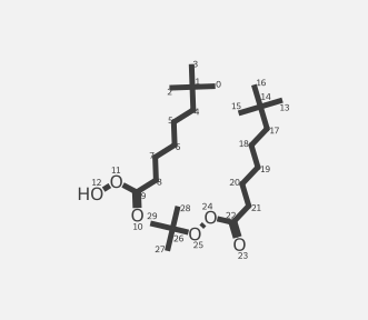 CC(C)(C)CCCCCC(=O)OO.CC(C)(C)CCCCCC(=O)OOC(C)(C)C